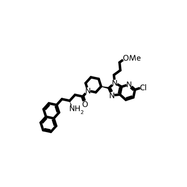 COCCCn1c([C@@H]2CCCN(C(=O)C[C@H](N)Cc3ccc4ccccc4c3)C2)nc2ccc(Cl)nc21